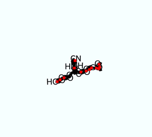 C=CC(=O)CC(COC(=O)C=C)COc1ccc(OC(=O)C2CCC(C(=O)Oc3ccc(CCOC(=O)C4CCC(C(=O)Oc5ccc(O)cc5)CC4)c4sc(NNc5ccc(C#N)cc5)nc34)CC2)cc1